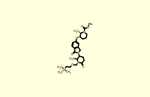 CC1C(N2Cc3cc(O[C@@H]4CCCN(C(=O)OC(C)(C)C)[C@@H]4C)ccc3C2=O)CCC(=O)N1COCC[Si](C)(C)C